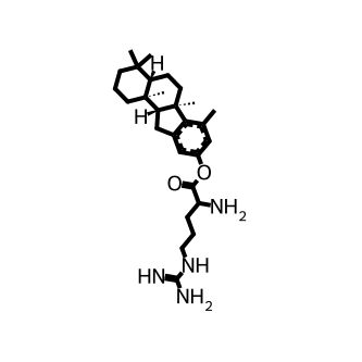 Cc1cc(OC(=O)C(N)CCCNC(=N)N)cc2c1[C@]1(C)CC[C@H]3C(C)(C)CCC[C@]3(C)[C@H]1C2